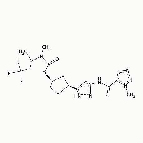 CC(CC(F)(F)F)N(C)C(=O)O[C@@H]1CC[C@H](c2cc(NC(=O)c3cnnn3C)n[nH]2)C1